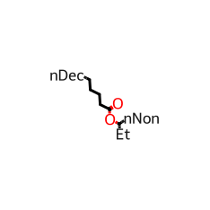 [CH2]CC(CCCCCCCCC)OC(=O)CCCCCCCCCCCCCC